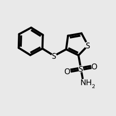 NS(=O)(=O)c1sccc1Sc1ccccc1